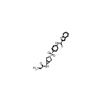 C=CC(=O)NC1C2CN(S(=O)(=O)c3ccc(NC(=O)c4cc5ccccc5o4)cc3)CC21